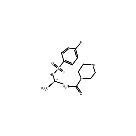 C[C@H](NS(=O)(=O)c1ccc(F)cc1)C(=O)O.NC(=O)N1CCNCC1